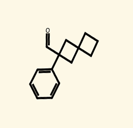 O=CC1(c2ccccc2)CC2(CCC2)C1